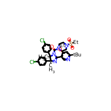 CCOc1cc(C(C)(C)C)ncc1C1=N[C@@](C)(c2ccc(Cl)cc2)[C@@](C)(c2ccc(Cl)cc2)N1C(=O)N1CCN(S(=O)(=O)CC)CC1